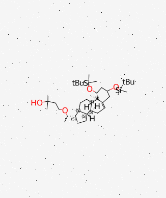 CC(OCCC(C)(C)O)[C@H]1CC[C@H]2[C@@H]3CC=C4CC(O[Si](C)(C)C(C)(C)C)CC(O[Si](C)(C)C(C)(C)C)[C@]4(C)[C@H]3CC[C@]12C